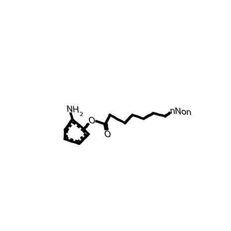 CCCCCCCCCCCCCCCC(=O)Oc1ccccc1N